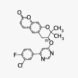 CC1(C)Oc2cc3oc(=O)ccc3cc2C[C@@H]1Oc1cc(-c2ccc(F)c(Cl)c2)ncn1